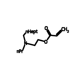 C=CC(=O)OCCN(CCC)CCCCCCCC